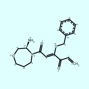 C=CC(=O)/C(=C/C(=O)N1CCCOC[C@H]1N)OCc1ccccc1